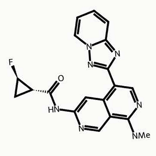 CNc1ncc(-c2nc3ccccn3n2)c2cc(NC(=O)[C@@H]3C[C@H]3F)ncc12